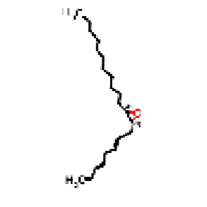 C=CC=CCC=CC[C@@H]1O[C@@H]1CCCCCCCCCCC